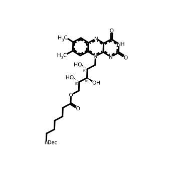 CCCCCCCCCCCCCCCC(=O)OC[C@H](O)[C@H](O)[C@H](O)Cn1c2nc(=O)[nH]c(=O)c-2nc2cc(C)c(C)cc21